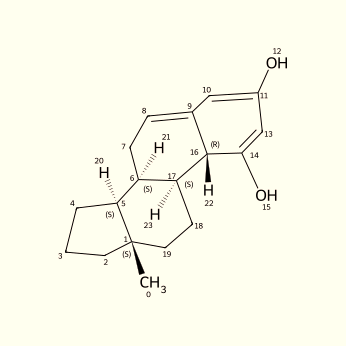 C[C@@]12CCC[C@H]1[C@H]1CC=C3C=C(O)C=C(O)[C@@H]3[C@H]1CC2